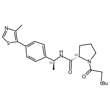 Cc1ncsc1-c1ccc([C@H](C)NC(=O)[C@@H]2CCCN2C(=O)CC(C)(C)C)cc1